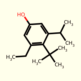 CCc1cc(O)cc(C(C)C)c1C(C)(C)C